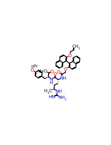 C=CCOc1ccc2ccccc2c1-c1c(OCC(=O)N[C@H](CC[C@H](C)NC(=N)N)C(=O)N[C@@H](Cc2ccc(OCCC)cc2)C(=O)OC)ccc2ccccc12